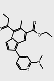 CCOC(=O)c1cc2c(-c3ccnc(N(C)C)c3)ccn2c(C(=O)CC)c1C